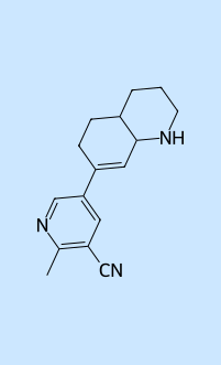 Cc1ncc(C2=CC3NCCCC3CC2)cc1C#N